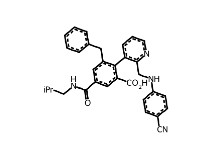 CC(C)CNC(=O)c1cc(Cc2ccccc2)c(-c2cccnc2CNc2ccc(C#N)cc2)c(C(=O)O)c1